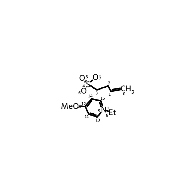 C=CCCS(=O)(=O)[O-].CC[n+]1ccc(OC)cc1